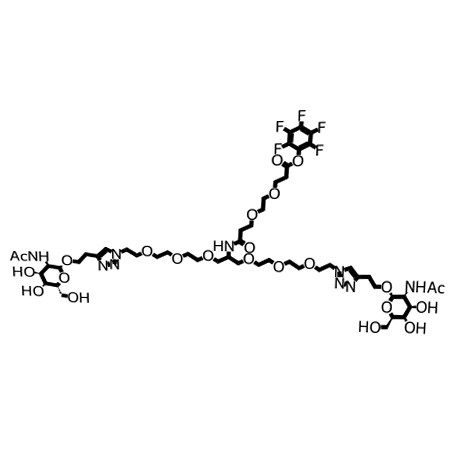 CC(=O)N[C@H]1[C@H](OCCc2cn(CCOCCOCCOCC(COCCOCCOCCn3cc(CCO[C@@H]4O[C@H](CO)[C@H](O)[C@H](O)[C@H]4NC(C)=O)nn3)NC(=O)CCOCCOCCC(=O)Oc3c(F)c(F)c(F)c(F)c3F)nn2)O[C@H](CO)[C@H](O)[C@@H]1O